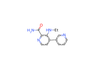 CCNc1c(-c2cccnc2)ccnc1C(N)=O